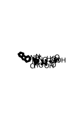 O=P(O)(O)CP(=O)(O)CC[C@H]1O[C@@H](n2cnc3c(Nc4ccc5c(c4)-c4ccccc4C5)nc(Cl)nc32)C(O)C1O